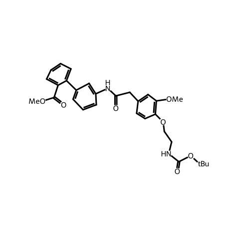 COC(=O)c1ccccc1-c1cccc(NC(=O)Cc2ccc(OCCNC(=O)OC(C)(C)C)c(OC)c2)c1